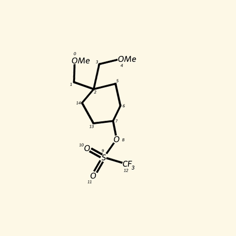 COCC1(COC)CCC(OS(=O)(=O)C(F)(F)F)CC1